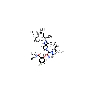 CCN(C(=O)c1cc(F)ccc1Oc1nncnc1N1CCC2(C1)CN(C(CCC(C)N(C)CCOC)C(C)C)C2)C(C)C.O=C(O)/C=C/C(=O)O